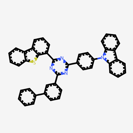 c1ccc(-c2cccc(-c3nc(-c4ccc(-n5c6ccccc6c6ccccc65)cc4)nc(-c4cccc5c4sc4ccccc45)n3)c2)cc1